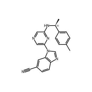 Cc1ccc([C@H](C)Nc2cncc(-n3cnc4ccc(C#N)cc43)n2)cc1